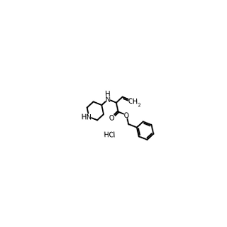 C=CC(NC1CCNCC1)C(=O)OCc1ccccc1.Cl